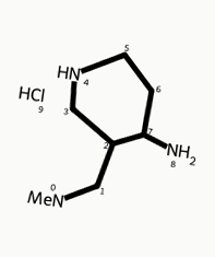 CNCC1CNCCC1N.Cl